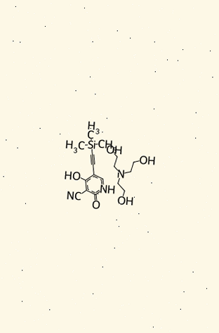 C[Si](C)(C)C#Cc1c[nH]c(=O)c(C#N)c1O.OCCN(CCO)CCO